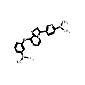 CN(C)c1cccc(NC2=NC=CN3C2=NCC3c2ccc(N(C)C)nc2)c1